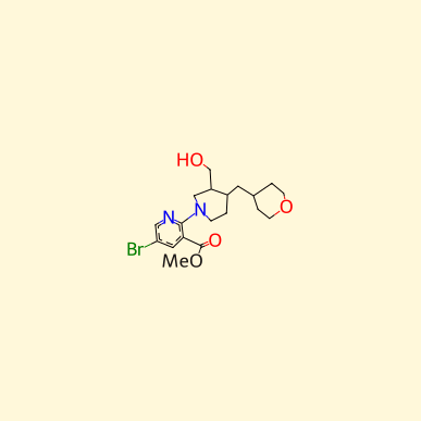 COC(=O)c1cc(Br)cnc1N1CCC(CC2CCOCC2)C(CO)C1